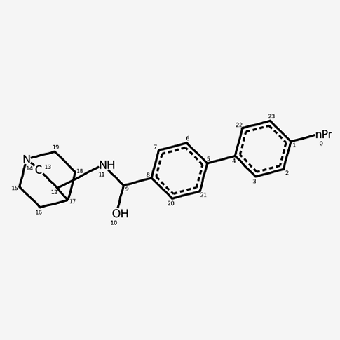 CCCc1ccc(-c2ccc(C(O)NC3CN4CCC3CC4)cc2)cc1